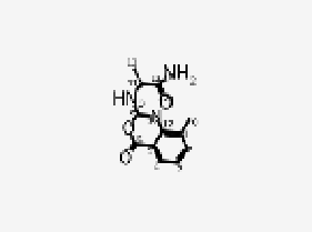 Cc1cccc2c(=O)oc(N[C@@H](C)C(N)=O)nc12